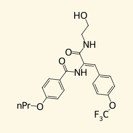 CCCOc1ccc(C(=O)N/C(=C\c2ccc(OC(F)(F)F)cc2)C(=O)NCCO)cc1